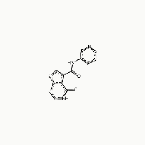 O=C(Nc1cccnc1)c1csc2nc[nH]c(=O)c12